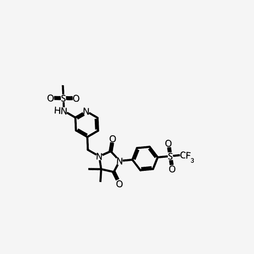 CC1(C)C(=O)N(c2ccc(S(=O)(=O)C(F)(F)F)cc2)C(=O)N1Cc1ccnc(NS(C)(=O)=O)c1